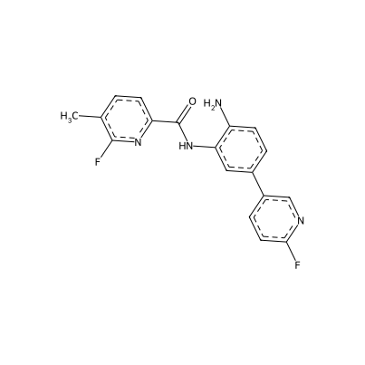 Cc1ccc(C(=O)Nc2cc(-c3ccc(F)nc3)ccc2N)nc1F